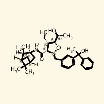 C[C@@H]1[C@@H](NC(=O)[C@@H]2[C@H](CO)[C@H]([C@H](C)O)ON2Cc2cccc(C(C)(O)c3ccccc3)c2)C[C@H]2C[C@@H]1C2(C)C